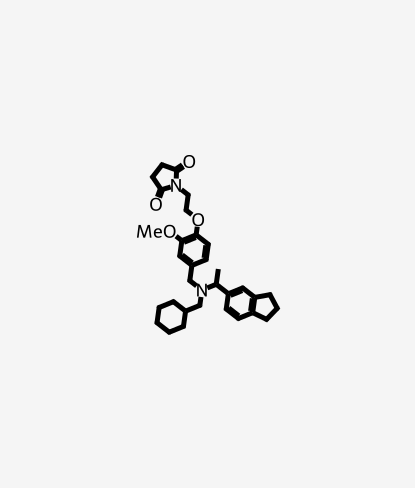 COc1cc(CN(CC2CCCCC2)C(C)c2ccc3c(c2)CCC3)ccc1OCCN1C(=O)CCC1=O